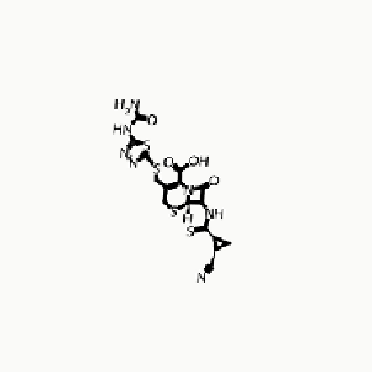 N#C[C@@H]1C[C@@H]1C(=S)NC1C(=O)N2C(C(=O)O)=C(CSc3nnc(NC(N)=O)s3)CS[C@@H]12